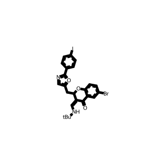 CC(C)(C)N/C=C1\C(=O)c2cc(Br)ccc2OC1Cc1cnc(-c2ccc(I)cc2)o1